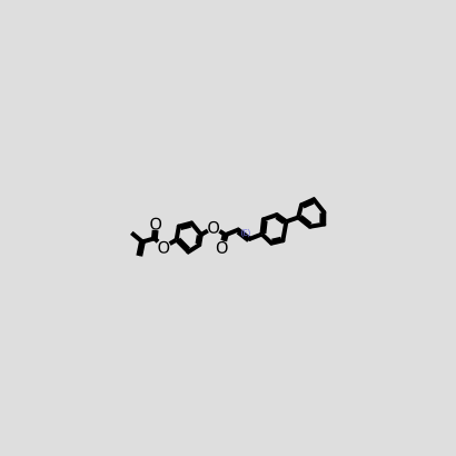 C=C(C)C(=O)Oc1ccc(OC(=O)/C=C/c2ccc(-c3ccccc3)cc2)cc1